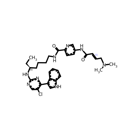 CC[C@@H](CCCCNC(=O)c1ccc(NC(=O)/C=C/CN(C)C)cn1)Nc1ncc(Cl)c(-c2c[nH]c3ccccc23)n1